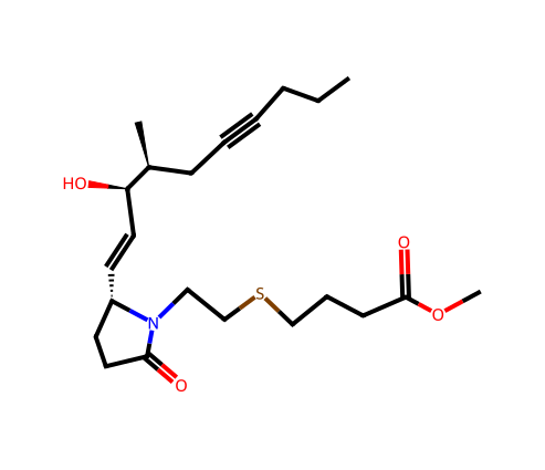 CCCC#CC[C@H](C)[C@H](O)/C=C/[C@H]1CCC(=O)N1CCSCCCC(=O)OC